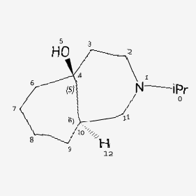 CC(C)N1CC[C@@]2(O)CCCC[C@@H]2C1